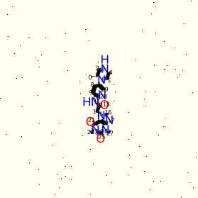 C[C@@H]1CNCCN1c1ccc(NC(=O)Cn2cnc3c2c(=O)n(C)c(=O)n3C)nc1